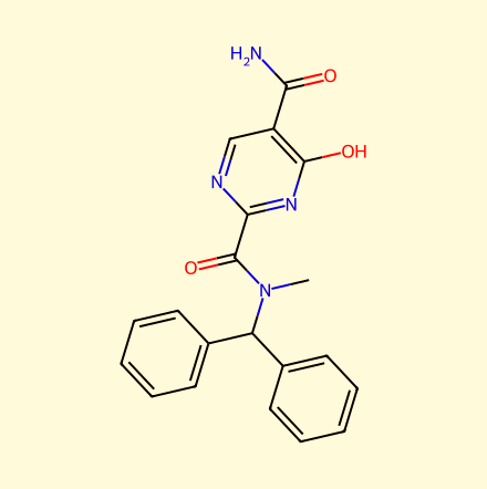 CN(C(=O)c1ncc(C(N)=O)c(O)n1)C(c1ccccc1)c1ccccc1